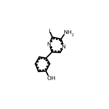 Nc1ncc(-c2cccc(O)c2)nc1I